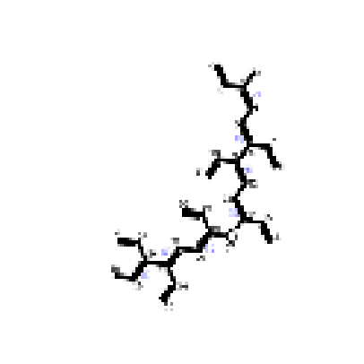 C=C\C(C)=C/C=C(C=C)/C(C=C)=C/C=C(\C=C)O/C(C=C)=C/C=C(C=C)/C(C=C)=C/C